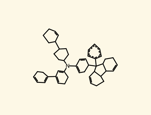 C1=CCCC(C2=CCCC(N(C3=CCC(C4(c5ccccc5)C5C=CCCC5C5C=CCCC54)C=C3)C3CCC(C4C=CCCC4)CC3)=C2)=C1